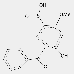 COc1cc(O)c(C(=O)c2ccccc2)cc1S(=O)O